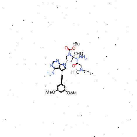 COc1cc(C#Cc2cn([C@@H]3CN(C(=O)OC(C)(C)C)[C@](C=O)(N(N)C(=O)CN(C)C)C3)c3ncnc(N)c23)cc(OC)c1